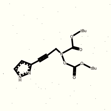 CC(C)(C)OC(=O)ON(CC#Cc1cc[nH]n1)C(=O)OC(C)(C)C